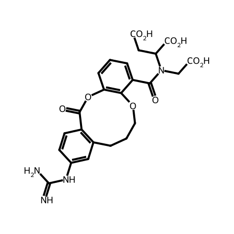 N=C(N)Nc1ccc2c(c1)CCCOc1c(cccc1C(=O)N(CC(=O)O)C(CC(=O)O)C(=O)O)OC2=O